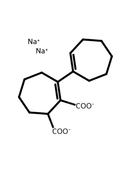 O=C([O-])C1=C(C2=CCCCCC2)CCCCC1C(=O)[O-].[Na+].[Na+]